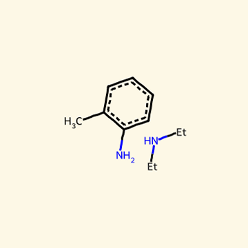 CCNCC.Cc1ccccc1N